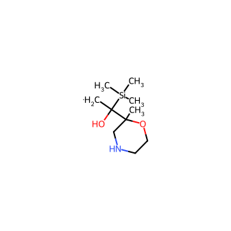 [CH2]C(O)(C1(C)CNCCO1)[Si](C)(C)C